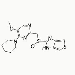 COc1cnc(C[S+]([O-])c2nc3cscc3[nH]2)nc1N1CCCCC1